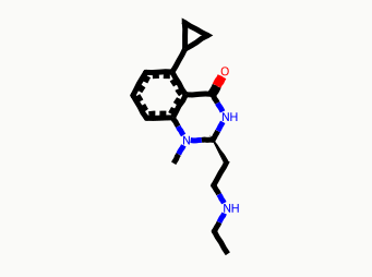 CCNCC[C@@H]1NC(=O)c2c(C3CC3)cccc2N1C